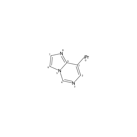 CC(C)c1cncn2ccnc12